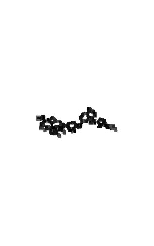 Cn1ccc(Nc2ncnc3ccc(Oc4ccc(OCC5CN(C(=O)O)C5C(C)(C)C)cn4)cc23)n1